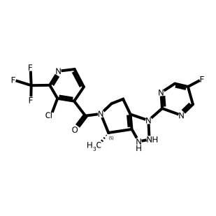 C[C@H]1C2=C(CCN1C(=O)c1ccnc(C(F)(F)F)c1Cl)N(c1ncc(F)cn1)NN2